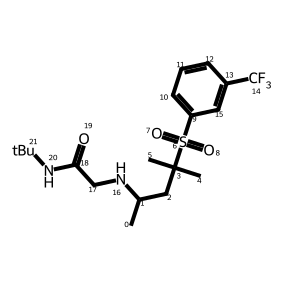 CC(CC(C)(C)S(=O)(=O)c1cccc(C(F)(F)F)c1)NCC(=O)NC(C)(C)C